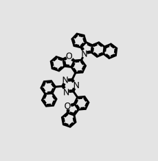 c1ccc2cc3c(cc2c1)c1ccccc1n3-c1ccc(-c2nc(-c3cccc4ccccc34)nc(-c3cccc4c3oc3ccccc34)n2)c2c1oc1ccccc12